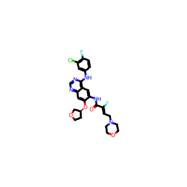 O=C(Nc1cc2c(Nc3ccc(F)c(Cl)c3)ncnc2cc1O[C@H]1CCOC1)C(F)=CCN1CCOCC1